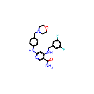 NC(=O)c1cnc(Nc2ccc(CN3CCOCC3)cc2)cc1NCc1cc(F)cc(F)c1